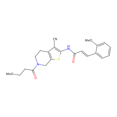 COCCC(=O)N1CCc2c(sc(NC(=O)/C=C/c3ccccc3OC)c2C#N)C1